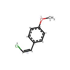 COc1ccc(/C=C\Cl)cc1